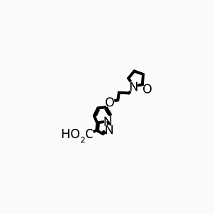 O=C(O)c1cnn2cc(OCCCN3CCCC3=O)ccc12